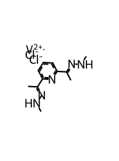 CNN=C(C)c1cccc(C(C)=NNC)n1.[Cl-].[Cl-].[V+2]